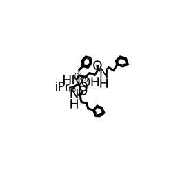 CC(C)[C@H](NC(=O)CCCc1ccccc1)C(=O)N[C@@H](Cc1ccccc1)[C@@H](O)CCC(=O)NCCc1ccccc1